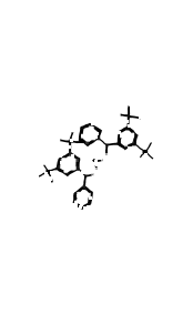 CC(C)(C)c1cc(C(OC(=O)OC(c2ccccc2)c2cc(C(C)(C)C)cc(C(C)(C)C)c2)c2ccccc2)cc(C(C)(C)C)c1